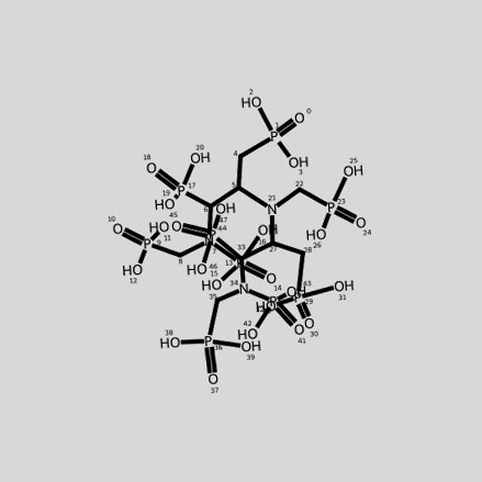 O=P(O)(O)CC(C(N(CP(=O)(O)O)P(=O)(O)O)P(=O)(O)O)N(CP(=O)(O)O)C(CP(=O)(O)O)C(N(CP(=O)(O)O)P(=O)(O)O)P(=O)(O)O